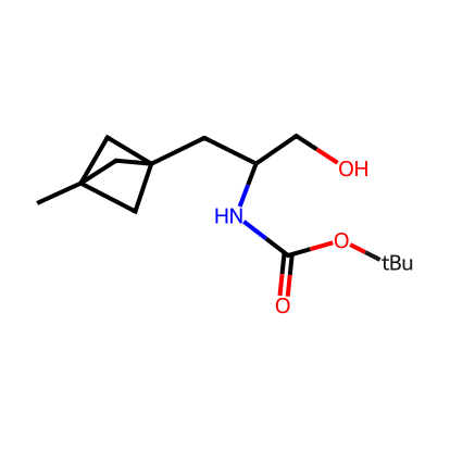 CC12CC(CC(CO)NC(=O)OC(C)(C)C)(C1)C2